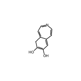 OC1=C(O)CC2=CC=NC=CC2=C1